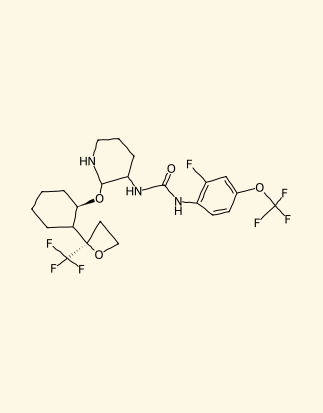 O=C(Nc1ccc(OC(F)(F)F)cc1F)NC1CCCNC1O[C@@H]1CCCCC1[C@@]1(C(F)(F)F)CCO1